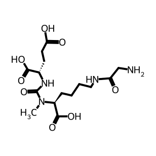 CN(C(=O)N[C@@H](CCC(=O)O)C(=O)O)[C@@H](CCCCNC(=O)CN)C(=O)O